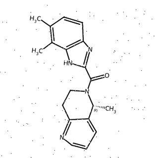 Cc1ccc2nc(C(=O)N3CCc4ncccc4[C@H]3C)[nH]c2c1C